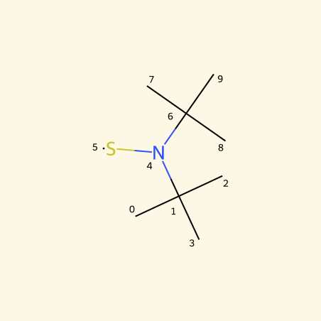 CC(C)(C)N([S])C(C)(C)C